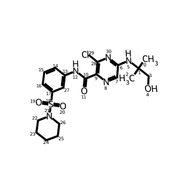 CC(C)(CO)Nc1cnc(C(=O)Nc2cccc(S(=O)(=O)N3CCCCC3)c2)c(Cl)n1